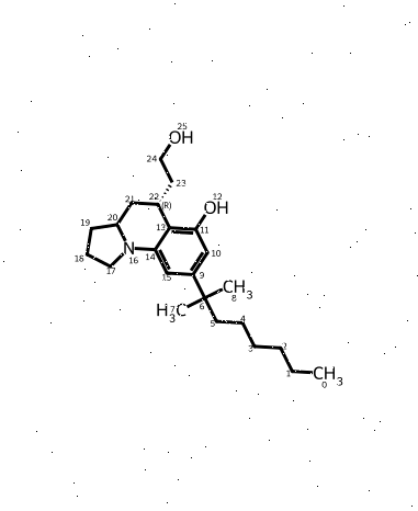 CCCCCCC(C)(C)c1cc(O)c2c(c1)N1CCCC1C[C@@H]2CCO